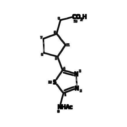 CC(=O)Nc1nnc(C2CCC(CC(=O)O)C2)s1